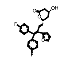 O=C1C[C@@H](O)C[C@H](C=CC(=C(c2ccc(F)cc2)c2ccc(F)cc2)c2ccco2)O1